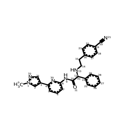 Cn1cc(-c2cccc(NC(=O)[C@@H](NCCc3ccc(C#N)cc3)c3ccccc3)n2)cn1